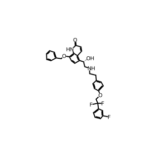 O=c1ccc2c([C@H](O)CNCCc3ccc(OCC(F)(F)c4cccc(F)c4)cc3)ccc(OCc3ccccc3)c2[nH]1